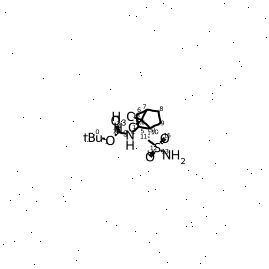 CC(C)(C)OC(=O)NC1CC2CC[C@]1(CS(N)(=O)=O)C2(C)C